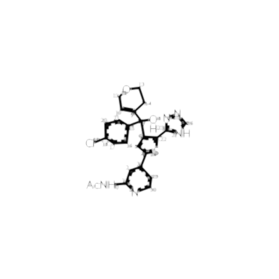 CC(=O)Nc1cc(-c2cc(C(O)(C3=CCOCC3)c3ccc(Cl)cc3)c(-c3nnc[nH]3)s2)ccn1